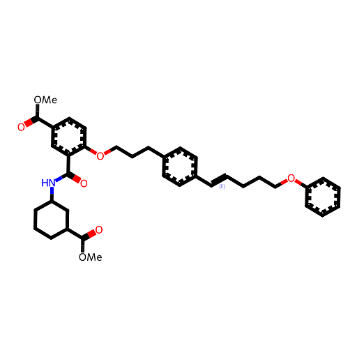 COC(=O)c1ccc(OCCCc2ccc(/C=C/CCCOc3ccccc3)cc2)c(C(=O)NC2CCCC(C(=O)OC)C2)c1